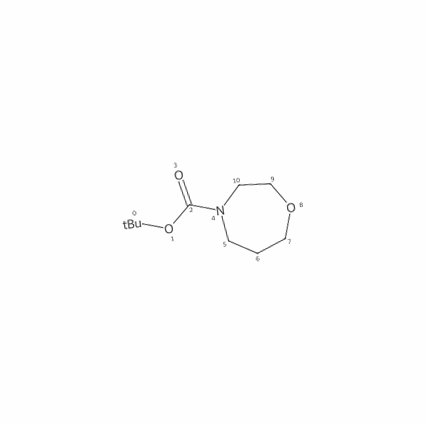 CC(C)(C)OC(=O)N1CCCOCC1